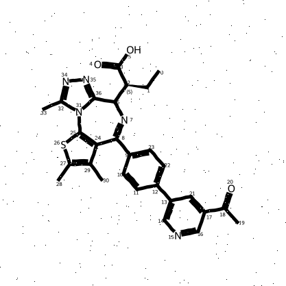 CC[C@H](C(=O)O)C1N=C(c2ccc(-c3cncc(C(C)=O)c3)cc2)c2c(sc(C)c2C)-n2c(C)nnc21